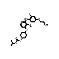 COc1c(OC2CCN(OC(=O)OC(C)C)CC2)ccnc1Nc1ccc(OCCO)cc1F